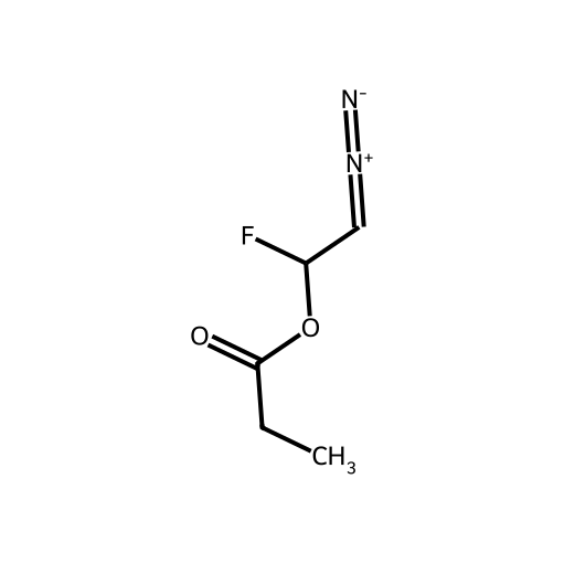 CCC(=O)OC(F)C=[N+]=[N-]